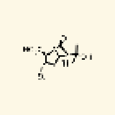 CCSC1C[C@@H]2[C@H](C(C)(C)O)C(=O)N2C1C(=O)O